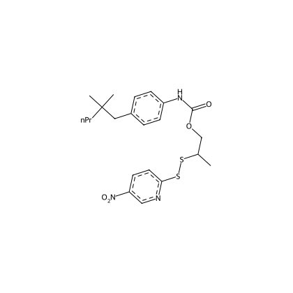 CCCC(C)(C)Cc1ccc(NC(=O)OCC(C)SSc2ccc([N+](=O)[O-])cn2)cc1